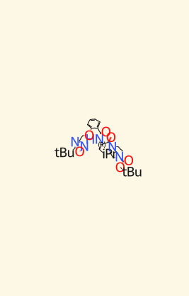 CC(C)C[C@@H](NC(=O)c1ccccc1OCc1noc(C(C)(C)C)n1)C(=O)N1CCN(C(=O)OC(C)(C)C)CC1